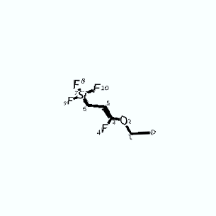 CCOC(F)=CC[Si](F)(F)F